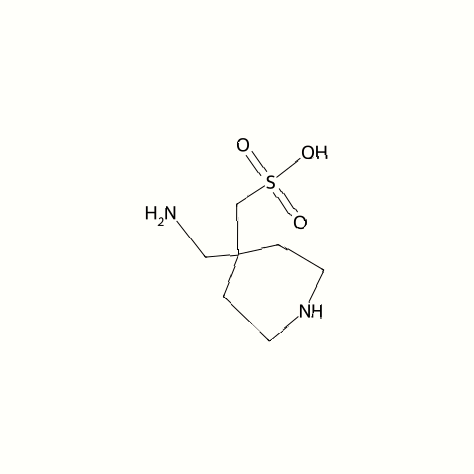 NCC1(CS(=O)(=O)O)CCNCC1